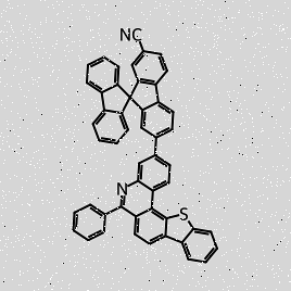 N#Cc1ccc2c(c1)C1(c3ccccc3-c3ccccc31)c1cc(-c3ccc4c(c3)nc(-c3ccccc3)c3ccc5c6ccccc6sc5c34)ccc1-2